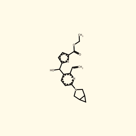 C=Cc1nc(N2CC3CC3C2)ccc1C(O)c1ccc(C(=O)OCC)s1